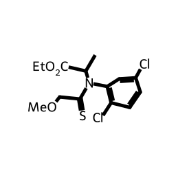 CCOC(=O)C(C)N(C(=S)COC)c1cc(Cl)ccc1Cl